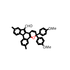 COc1ccc(C2(c3ccc(OC)cc3)C=CC3=C(O2)c2cc(C)ccc2C2C3=C(C=O)c3cc(C)ccc32)cc1